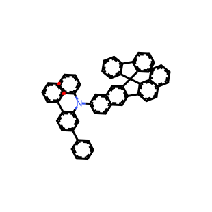 c1ccc(-c2ccc(-c3ccccc3)c(N(c3ccccc3)c3ccc4cc5c(cc4c3)C3(c4ccccc4-c4ccccc43)c3c-5ccc4ccccc34)c2)cc1